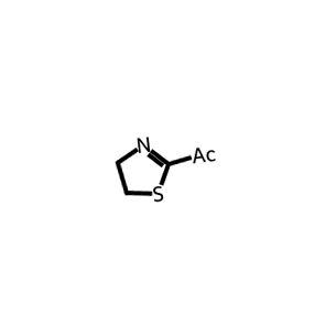 CC(=O)C1=NCCS1